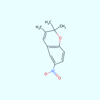 CC1=Cc2cc([N+](=O)[O-])ccc2OC1(C)C